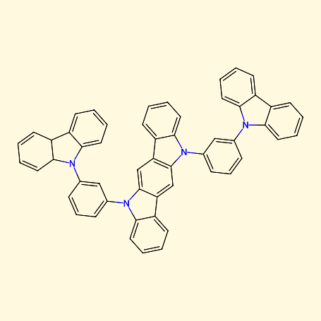 C1=CC2c3ccccc3N(c3cccc(-n4c5ccccc5c5cc6c(cc54)c4ccccc4n6-c4cccc(-n5c6ccccc6c6ccccc65)c4)c3)C2C=C1